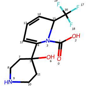 O=C(O)N1C(C2(O)CCNCC2)=CC=CC1C(F)(F)F